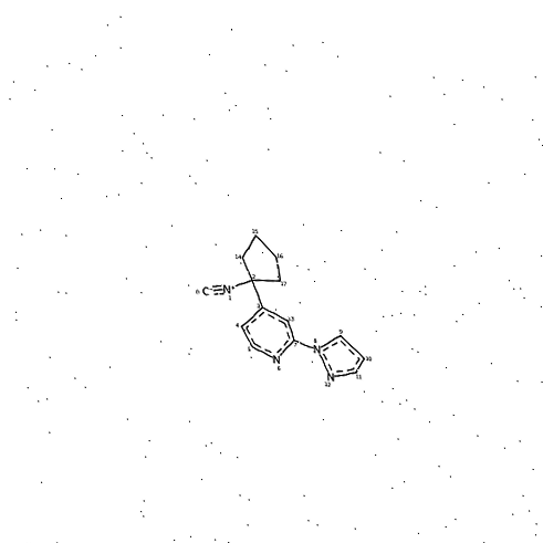 [C-]#[N+]C1(c2ccnc(-n3cccn3)c2)CCCC1